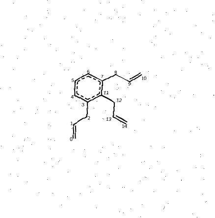 C=CCc1c[c]cc(CC=C)c1CC=C